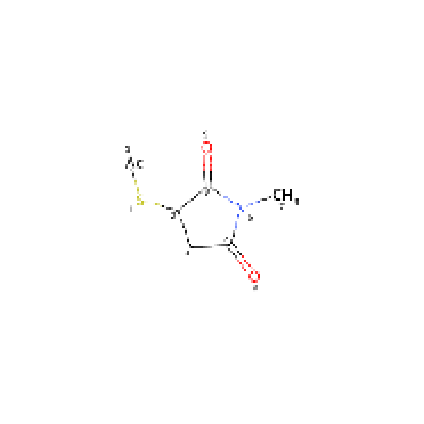 CC(=O)SC1CC(=O)N(C)C1=O